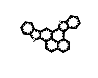 c1ccc2c(c1)sc1c2cc2c3sc4ccccc4c3c3cccc4ccc1c2c43